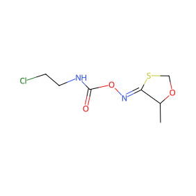 CC1OCSC1=NOC(=O)NCCCl